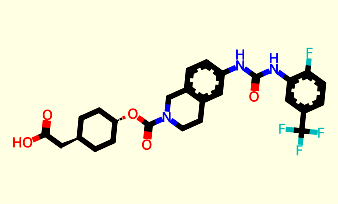 O=C(O)C[C@H]1CC[C@H](OC(=O)N2CCc3cc(NC(=O)Nc4cc(C(F)(F)F)ccc4F)ccc3C2)CC1